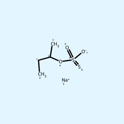 CCC(C)OS(=O)([O-])=S.[Na+]